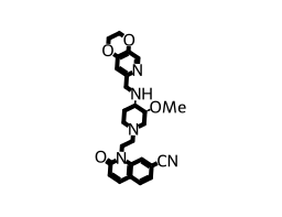 CO[C@@H]1CN(CCn2c(=O)ccc3ccc(C#N)cc32)CC[C@@H]1NCc1cc2c(cn1)OCCO2